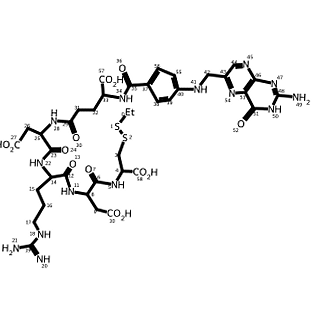 CCSSCC(NC(=O)C(CC(=O)O)NC(=O)C(CCCNC(=N)N)NC(=O)C(CC(=O)O)NC(=O)CCC(NC(=O)c1ccc(NCc2cnc3nc(N)[nH]c(=O)c3n2)cc1)C(=O)O)C(=O)O